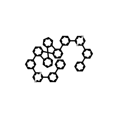 c1ccc(-c2cccc(-c3cncc(-c4cccc(-c5cccc6c5-c5ccccc5C65c6ccccc6-c6c(-c7cccc(-c8cncc(-c9cccc(-c%10ccccc%10)c9)n8)c7)cccc65)c4)n3)c2)cc1